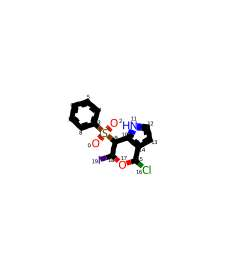 O=S(=O)(c1ccccc1)C1c2[nH]ccc2C(Cl)OC1I